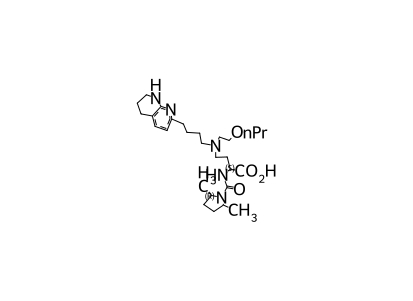 CCCOCCN(CCCCc1ccc2c(n1)NCCC2)CC[C@H](NC(=O)N1C(C)CC[C@H]1C)C(=O)O